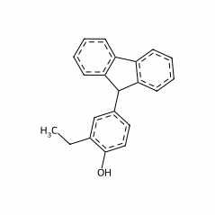 CCc1cc(C2c3ccccc3-c3ccccc32)ccc1O